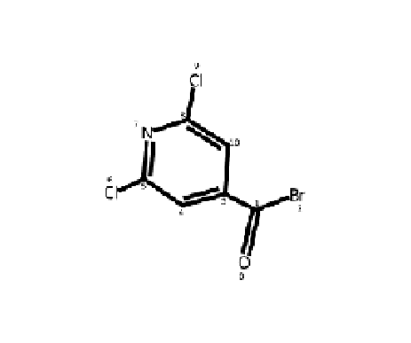 O=C(Br)c1cc(Cl)nc(Cl)c1